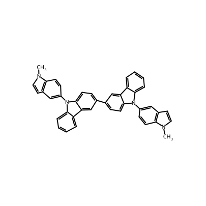 Cn1ccc2cc(-n3c4ccccc4c4cc(-c5ccc6c(c5)c5ccccc5n6-c5ccc6c(ccn6C)c5)ccc43)ccc21